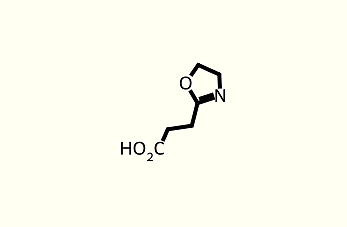 O=C(O)CCC1=NCCO1